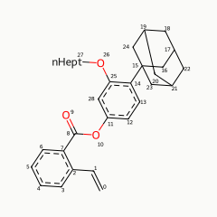 C=Cc1ccccc1C(=O)Oc1ccc(C23CC4CC(CC(C4)C2)C3)c(OCCCCCCC)c1